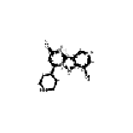 O=c1cc(C2CCNCC2)n2nc3c(Br)cncc3c2[nH]1